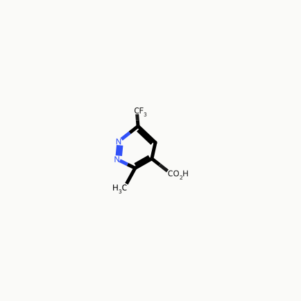 Cc1nnc(C(F)(F)F)cc1C(=O)O